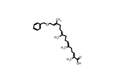 C/C(=C\CC/C(C)=C/COCc1ccccc1)CC/C=C(\C)CC/C=C(\C)C(=O)O